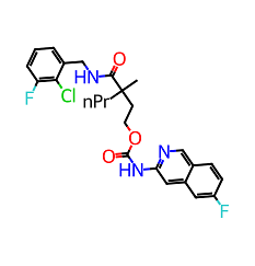 CCCC(C)(CCOC(=O)Nc1cc2cc(F)ccc2cn1)C(=O)NCc1cccc(F)c1Cl